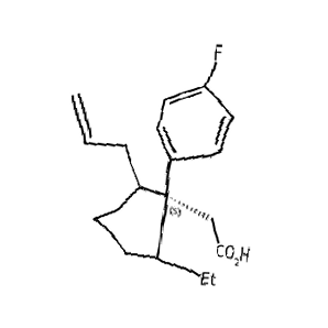 C=CCC1CCC(CC)[C@]1(CC(=O)O)c1ccc(F)cc1